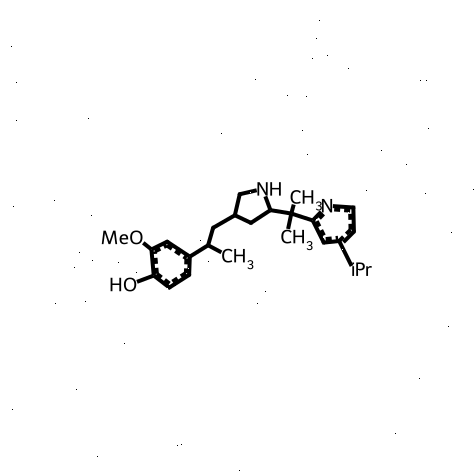 COc1cc(C(C)CC2CNC(C(C)(C)c3cc(C(C)C)ccn3)C2)ccc1O